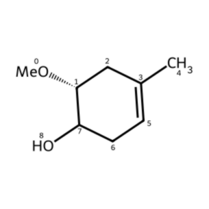 CO[C@@H]1CC(C)=CCC1O